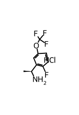 C[C@H](N)c1cc(OC(F)(F)F)ccc1F.Cl